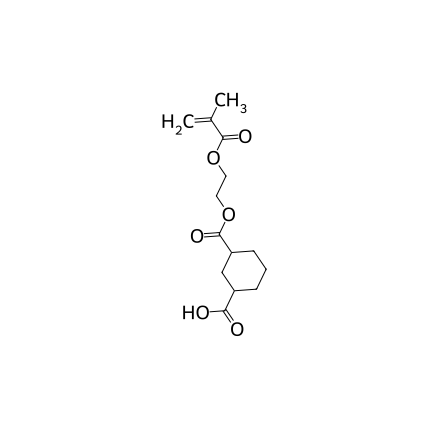 C=C(C)C(=O)OCCOC(=O)C1CCCC(C(=O)O)C1